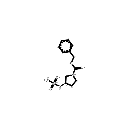 O=C(OCc1ccccc1)N1CC[C@@H](OS(=O)(=O)C(F)(F)F)C1